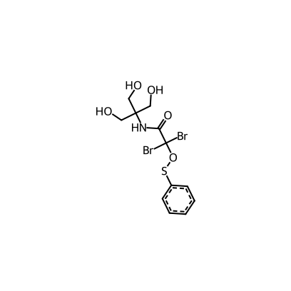 O=C(NC(CO)(CO)CO)C(Br)(Br)OSc1ccccc1